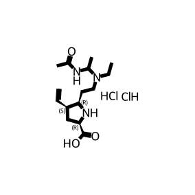 C=C[C@@H]1C[C@H](C(=O)O)N[C@@H]1CCN(CC)C(C)NC(C)=O.Cl.Cl